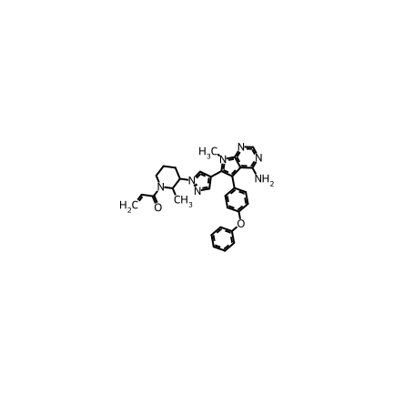 C=CC(=O)N1CCCC(n2cc(-c3c(-c4ccc(Oc5ccccc5)cc4)c4c(N)ncnc4n3C)cn2)C1C